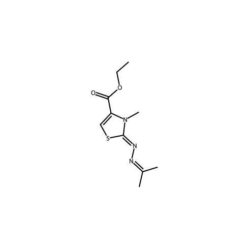 CCOC(=O)c1csc(=NN=C(C)C)n1C